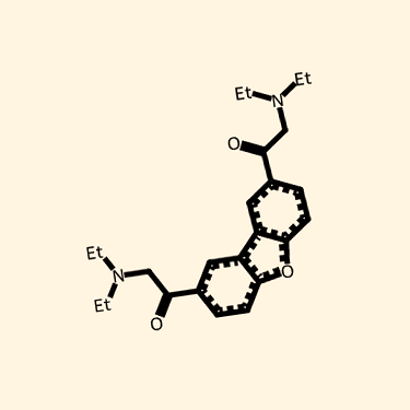 CCN(CC)CC(=O)c1ccc2oc3ccc(C(=O)CN(CC)CC)cc3c2c1